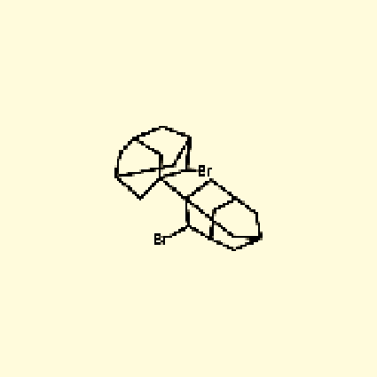 BrC1C2CC3CC(C2)CC1(C12CC4CC(CC(C4)C1Br)C2)C3